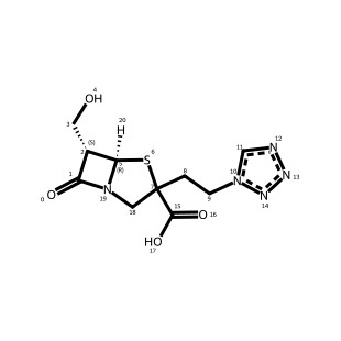 O=C1[C@H](CO)[C@H]2SC(CCn3cnnn3)(C(=O)O)CN12